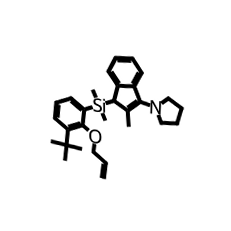 C=CCOc1c(C(C)(C)C)cccc1[Si](C)(C)C1C(C)=C(N2CCCC2)c2ccccc21